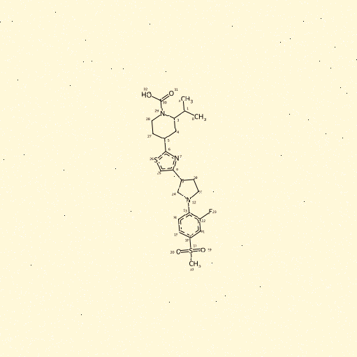 CC(C)C1CC(c2nc(C3CCN(c4ccc(S(C)(=O)=O)cc4F)C3)cs2)CCN1C(=O)O